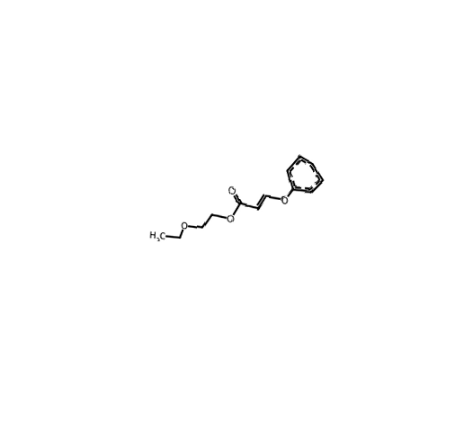 CCOCCOC(=O)C=COc1ccccc1